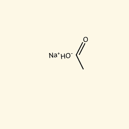 CC=O.[Na+].[OH-]